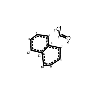 O=CCl.c1ccc2ccccc2c1